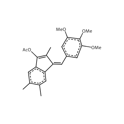 COc1cc(C=C2C(C)=C(OC(C)=O)c3cc(C)c(C)cc32)cc(OC)c1OC